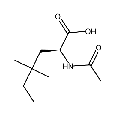 CCC(C)(C)C[C@H](NC(C)=O)C(=O)O